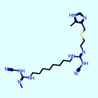 C/N=C(/NC#N)NCCCCCCCCN/C(=N\CCSCc1nc[nH]c1C)NC#N